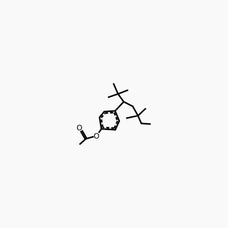 CCC(C)(C)CC(c1ccc(OC(C)=O)cc1)C(C)(C)C